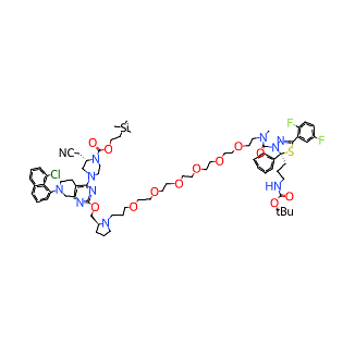 CN(CCOCCOCCOCCOCCOCCOCCCN1CCC[C@H]1COc1nc2c(c(N3CCN(C(=O)OCC[Si](C)(C)C)[C@@H](CC#N)C3)n1)CCN(c1cccc3cccc(Cl)c13)C2)C(=O)N1N=C(c2cc(F)ccc2F)S[C@@]1(CCCNC(=O)OC(C)(C)C)c1ccccc1